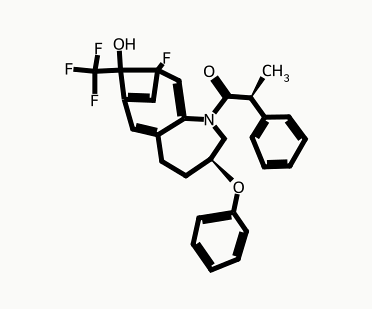 C[C@H](C(=O)N1C[C@@H](Oc2ccccc2)CCC2=CC3=CC(F)(C=C21)C3(O)C(F)(F)F)c1ccccc1